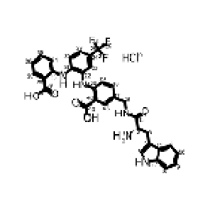 Cl.N[C@@H](Cc1c[nH]c2ccccc12)C(=O)NCc1ccc(Nc2cc(C(F)(F)F)ccc2Nc2ccccc2C(=O)O)c(C(=O)O)c1